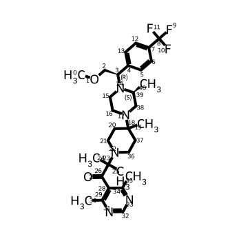 COC[C@@H](c1ccc(C(F)(F)F)cc1)N1CCN(C2(C)CCN(C(C)(C)C(=O)c3c(C)ncnc3C)CC2)C[C@@H]1C